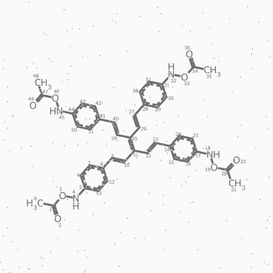 CC(=O)ONc1ccc(C=CC(C=Cc2ccc(NOC(C)=O)cc2)=C(C=Cc2ccc(NOC(C)=O)cc2)C=Cc2ccc(NOC(C)=O)cc2)cc1